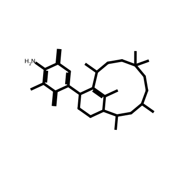 C=c1cc(C2CCC3C(C)=C2C(C)CCC(C)(C)CCC(C)CC3C)c(=C)c(C)c1N